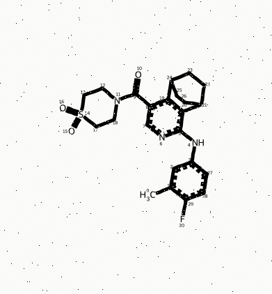 Cc1cc(Nc2ncc(C(=O)N3CCS(=O)(=O)CC3)c3c2C2CCC3CC2)ccc1F